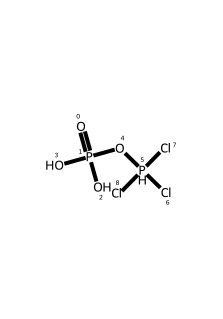 O=P(O)(O)O[PH](Cl)(Cl)Cl